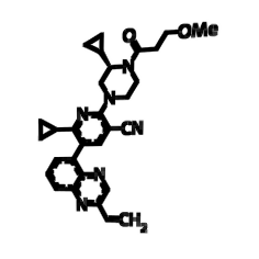 C=Cc1cnc2c(-c3cc(C#N)c(N4CCN(C(=O)CCOC)[C@H](C5CC5)C4)nc3C3CC3)cccc2n1